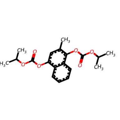 Cc1cc(OC(=O)OC(C)C)c2ccccc2c1OC(=O)OC(C)C